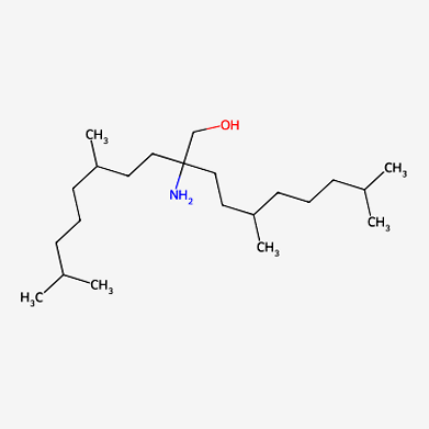 CC(C)CCCC(C)CCC(N)(CO)CCC(C)CCCC(C)C